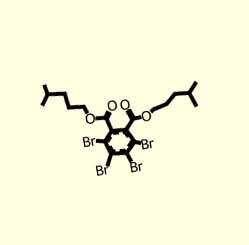 CC(C)CCCOC(=O)c1c(Br)c(Br)c(Br)c(Br)c1C(=O)OCCCC(C)C